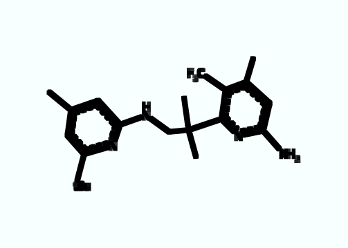 Cc1cc(NCC(C)(C)c2nc(N)cc(C)c2C(F)(F)F)nc(C(C)(C)C)c1